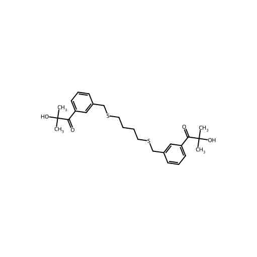 CC(C)(O)C(=O)c1cccc(CSCCCCSCc2cccc(C(=O)C(C)(C)O)c2)c1